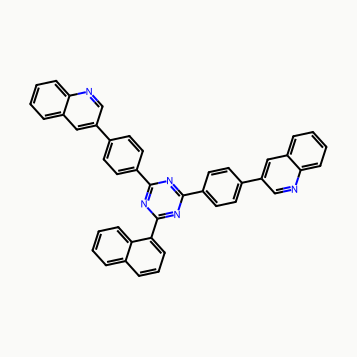 c1ccc2ncc(-c3ccc(-c4nc(-c5ccc(-c6cnc7ccccc7c6)cc5)nc(-c5cccc6ccccc56)n4)cc3)cc2c1